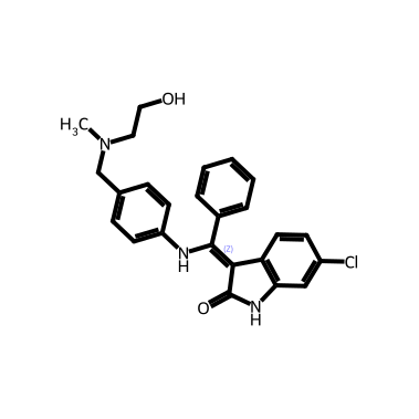 CN(CCO)Cc1ccc(N/C(=C2\C(=O)Nc3cc(Cl)ccc32)c2ccccc2)cc1